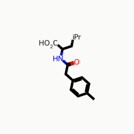 Cc1ccc(CC(=O)NC(CC(C)C)C(=O)O)cc1